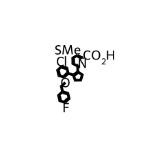 CSc1ccc(C2=C(c3cc(Cl)ccc3OCc3ccc(F)cc3)CCC2)nc1C(=O)O